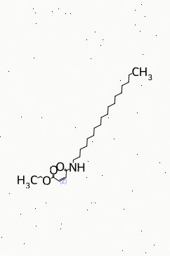 CCCCCCCCCCCCCCCCCCNC(=O)/C=C\C(=O)OCC